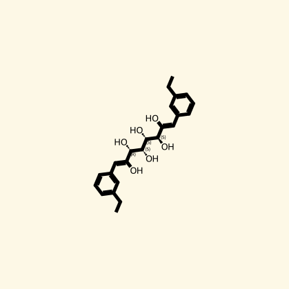 CCc1cccc(C=C(O)[C@@H](O)[C@@H](O)[C@H](O)[C@@H](O)C(O)=Cc2cccc(CC)c2)c1